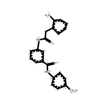 Nc1ccccc1CC(=O)Nc1cccc(C(=O)Nc2ccc(C(=O)O)cc2)c1